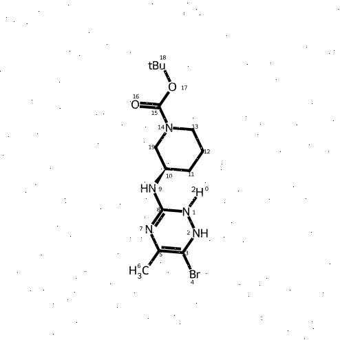 [2H]N1NC(Br)=C(C)N=C1N[C@@H]1CCCN(C(=O)OC(C)(C)C)C1